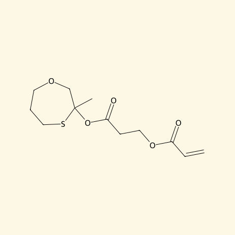 C=CC(=O)OCCC(=O)OC1(C)COCCCS1